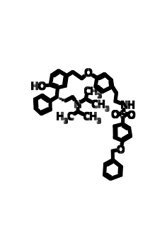 CC(C)N(CC[C@H](c1ccccc1)c1cc(CCOc2ccc(CCNS(=O)(=O)c3ccc(OCc4ccccc4)cc3)cc2)ccc1O)C(C)C